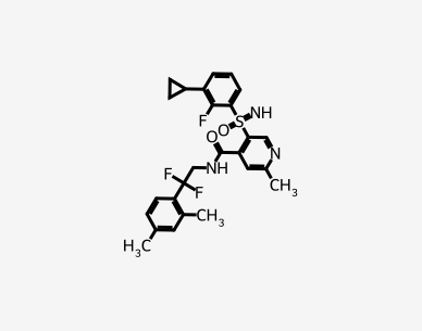 Cc1ccc(C(F)(F)CNC(=O)c2cc(C)ncc2S(=N)(=O)c2cccc(C3CC3)c2F)c(C)c1